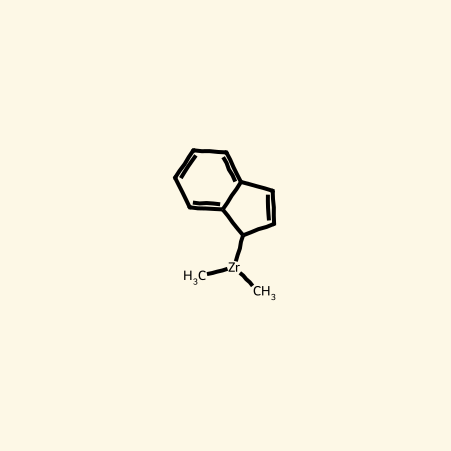 [CH3][Zr]([CH3])[CH]1C=Cc2ccccc21